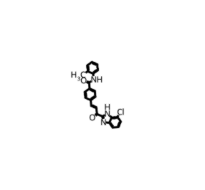 Cc1ccccc1NC(=O)c1ccc(C=CC(=O)c2nc3cccc(Cl)c3[nH]2)cc1